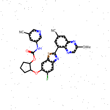 COc1cnc2c(-c3nc4cc(F)c(OC5CCCC5OC(=O)Nc5cncc(C#N)c5)cc4s3)cc(C#N)cc2n1